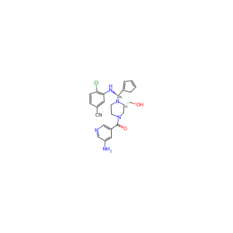 N#Cc1ccc(Cl)c(N[C@@H](C2=CC=CC2)N2CCN(C(=O)c3cncc(N)c3)C[C@H]2CO)c1